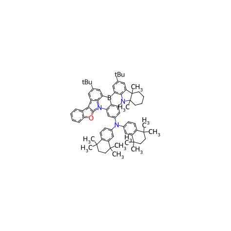 CC(C)(C)c1cc2c3c(c1)C1(C)CCCCC1(C)N3c1cc(N(c3ccc4c(c3)C(C)(C)CCC4(C)C)c3ccc4c(c3)C(C)(C)CCC4(C)C)cc3c1B2c1cc(C(C)(C)C)cc2c4c5ccccc5oc4n-3c12